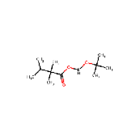 CC(C)C(C)(C)C(=O)OBOC(C)(C)C